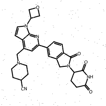 N#CC1CCN(Cc2cc(-c3ccc4c(c3)CN(C3CCC(=O)NC3=O)C4=O)nc3c2ccn3C2COC2)CC1